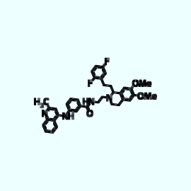 COc1cc2c(cc1OC)C(CCc1cc(F)ccc1F)N(CCNC(=O)c1cccc(Nc3cc(C)nc4ccccc34)c1)CC2